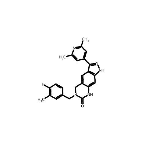 Cc1cc(-c2n[nH]c3cc4c(cc23)CN(Cc2ccc(F)c(C)c2)C(=O)N4)cc(C)n1